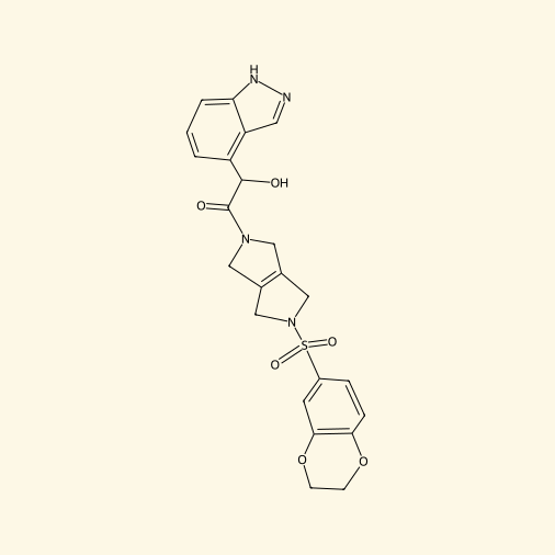 O=C(C(O)c1cccc2[nH]ncc12)N1CC2=C(C1)CN(S(=O)(=O)c1ccc3c(c1)OCCO3)C2